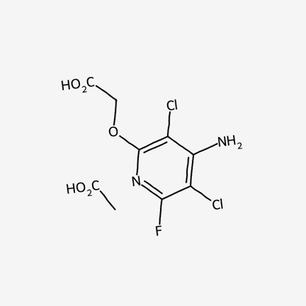 CC(=O)O.Nc1c(Cl)c(F)nc(OCC(=O)O)c1Cl